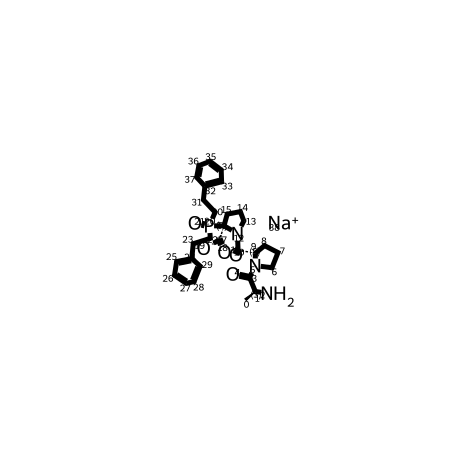 C[C@H](N)C(=O)N1CCC[C@H]1C(=O)N1CCC[C@]1(C(=O)[O-])P(=O)(CCc1ccccc1)CCc1ccccc1.[Na+]